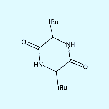 CC(C)(C)C1NC(=O)C(C(C)(C)C)NC1=O